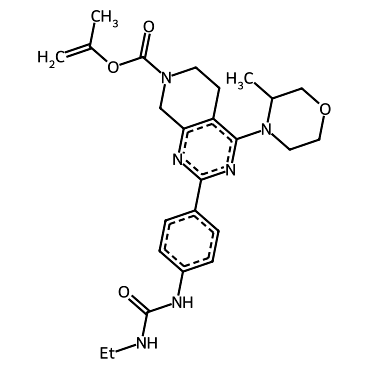 C=C(C)OC(=O)N1CCc2c(nc(-c3ccc(NC(=O)NCC)cc3)nc2N2CCOCC2C)C1